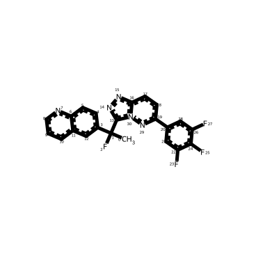 CC(F)(c1ccc2ncccc2c1)c1nnc2ccc(-c3cc(F)c(F)c(F)c3)nn12